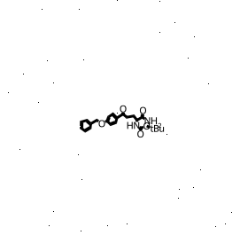 CC(C)(C)OC(=O)NC(CCC(=O)c1ccc(OCc2ccccc2)cc1)C(N)=O